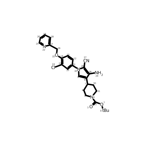 CC(C)(C)OC(=O)N1CCC(c2cn(-c3ccc(OCc4ccccn4)c(Cl)c3)c(C#N)c2N)CC1